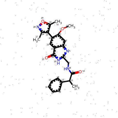 COc1cc2nc(CNC(=O)C(C)c3ccccc3)[nH]c(=O)c2cc1-c1c(C)noc1C